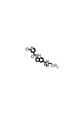 CCc1nc(-c2ccc3c(c2)CC[C@H]3NC(=O)c2ccnc(Cl)c2)no1